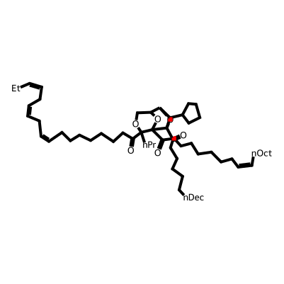 CC/C=C\C/C=C\C/C=C\CCCCCCCC(=O)C1(CCC)OCC2OC1(C(=O)CCCCCCC/C=C\CCCCCCCC)C1(C(=O)CCCCCCCCCCCCCCC)OC2C1C1CCCC1